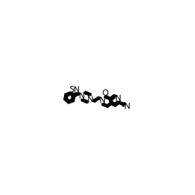 N#Cc1cc2c(cn1)C(=O)N(CCN1CCN(c3nsc4ccccc34)CC1)CC2